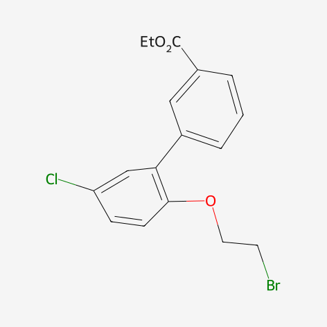 CCOC(=O)c1cccc(-c2cc(Cl)ccc2OCCBr)c1